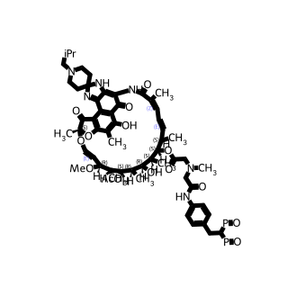 CO[C@H]1/C=C/O[C@@]2(C)Oc3c(C)c(O)c4c(c3C2=O)C2=NC3(CCN(CC(C)C)CC3)NC2=C(NC(=O)/C(C)=C\C=C\[C@H](C)[C@H](OC(=O)CN(C)CC(=O)Nc2ccc(CC(P=O)P=O)cc2)[C@@H](C)[C@@H](O)[C@@H](C)[C@H](OC(C)=O)[C@@H]1C)C4=O